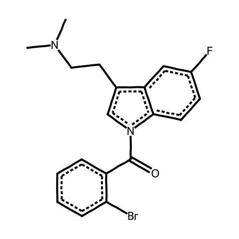 CN(C)CCc1cn(C(=O)c2ccccc2Br)c2ccc(F)cc12